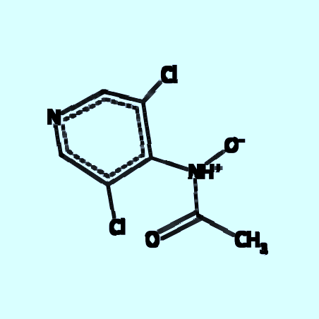 CC(=O)[NH+]([O-])c1c(Cl)cncc1Cl